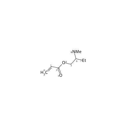 C=CC(=O)OCC(CC)NC